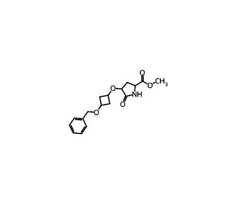 COC(=O)C1CC(OC2CC(OCc3ccccc3)C2)C(=O)N1